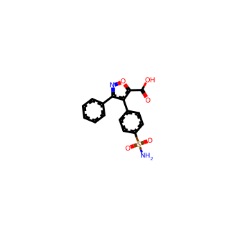 NS(=O)(=O)c1ccc(-c2c(-c3ccccc3)noc2C(=O)O)cc1